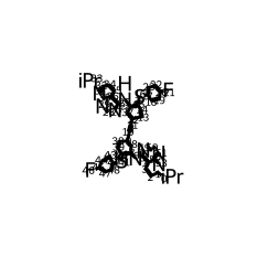 CC(C)c1ccc2c(Nc3cc(C#Cc4ccc(Sc5ccc(F)cc5)c(Nc5ncnc6nc(C(C)C)ccc56)c4)ccc3Sc3ccc(F)cc3)ncnc2n1